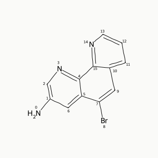 Nc1cnc2c(c1)c(Br)cc1cccnc12